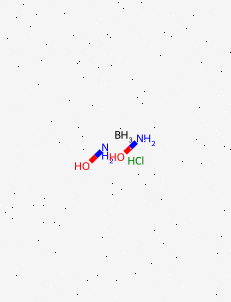 B.Cl.NO.NO